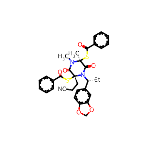 CC[C@H](c1ccc2c(c1)OCO2)N1C(=O)[C@](C)(SC(=O)c2ccccc2)N(C)C(=O)[C@@]1(CCC#N)SC(=O)c1ccccc1